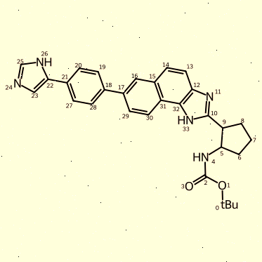 CC(C)(C)OC(=O)NC1CCCC1c1nc2ccc3cc(-c4ccc(-c5cnc[nH]5)cc4)ccc3c2[nH]1